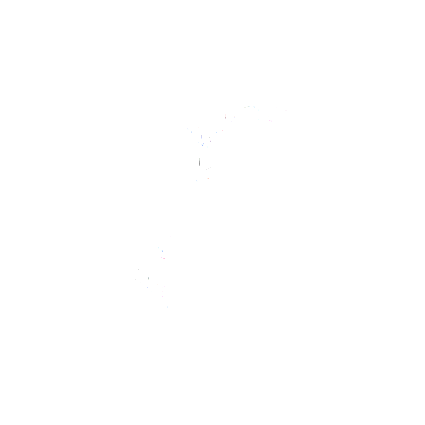 CC(C)(C)OC(=O)N(CC(F)(F)F)c1cc(-c2nc(C(=O)Nc3cn(-c4ccc(C(=O)NCCOCCCCCOCCNC(=O)COc5cccc6c5C(=O)N(C5CCC(=O)NC5=O)C6=O)cc4)nc3C(N)=O)co2)ccn1